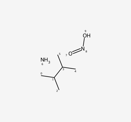 CC(C)C(C)C.N.O=NO